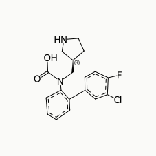 O=C(O)N(C[C@@H]1CCNC1)c1ccccc1-c1ccc(F)c(Cl)c1